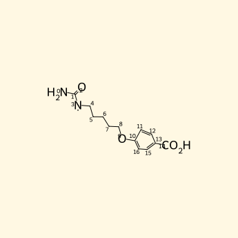 NC(=O)[N]CCCCCOc1ccc(C(=O)O)cc1